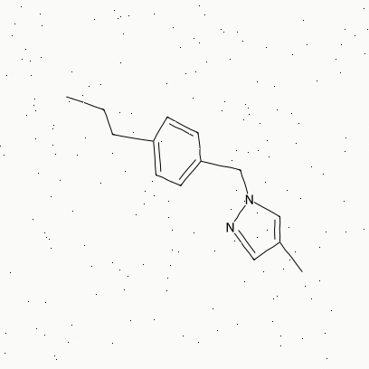 CCCc1ccc(Cn2cc(C)cn2)cc1